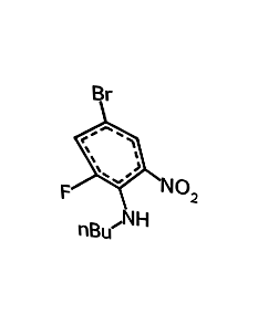 CCCCNc1c(F)cc(Br)cc1[N+](=O)[O-]